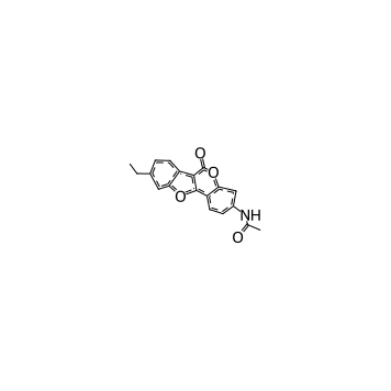 CCc1ccc2c(c1)oc1c3ccc(NC(C)=O)cc3oc(=O)c21